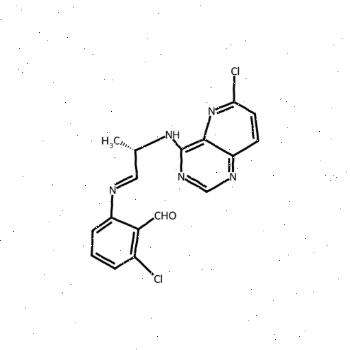 C[C@@H](/C=N/c1cccc(Cl)c1C=O)Nc1ncnc2ccc(Cl)nc12